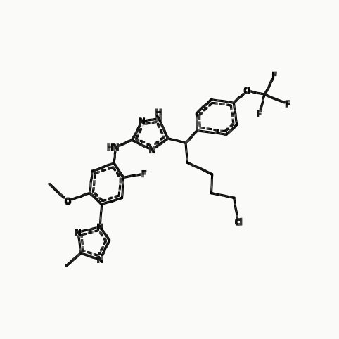 COc1cc(Nc2n[nH]c(C(CCCCCl)c3ccc(OC(F)(F)F)cc3)n2)c(F)cc1-n1cnc(C)n1